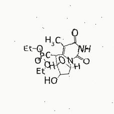 CCOP(=O)(CC1c2c(C)c(=O)[nH]c(=O)n2[C@H]2CC(O)[C@@H]1O2)OCC